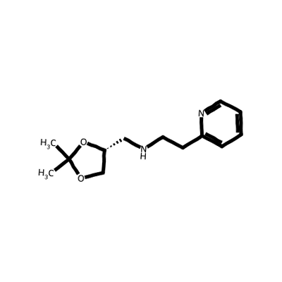 CC1(C)OC[C@@H](CNCCc2ccccn2)O1